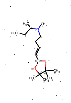 C[C@H](CC(=O)O)N(C)CC/C=C/B1OC(C)(C)C(C)(C)O1